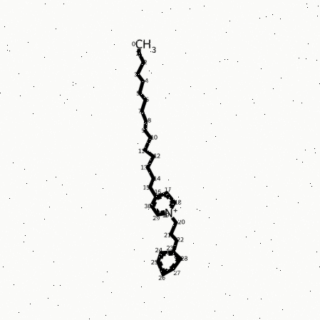 CCCCCCCCCCCCCCCCc1cc[n+](CCCc2ccccc2)cc1